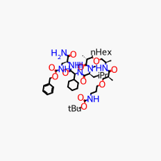 CCCCCC[C@@H](OC[C@@H](C)NC(=O)[C@@H](C)COCCCNC(=O)OC(C)(C)C)[C@@H](C)C(=O)N(C)[C@@H](CC(C)C)C(=O)N[C@H](C(=O)N[C@@H](CNC(=O)OCc1ccccc1)C(N)=O)C1CCCCC1